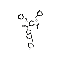 C=C(C)c1cc(C(O)N2Cc3ccc(CN4CCN(C)CC4)cc3C2)c(OCc2ccccc2)cc1OCc1ccccc1